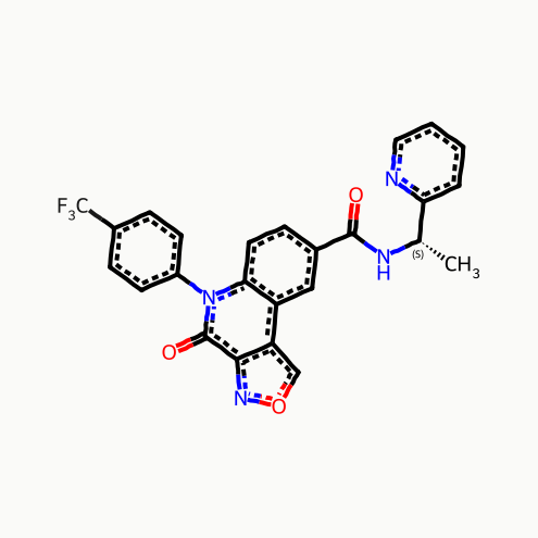 C[C@H](NC(=O)c1ccc2c(c1)c1conc1c(=O)n2-c1ccc(C(F)(F)F)cc1)c1ccccn1